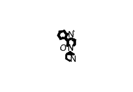 Cn1c2ccccc2c2c(=O)n(C3CN4CCC3CC4)ccc21